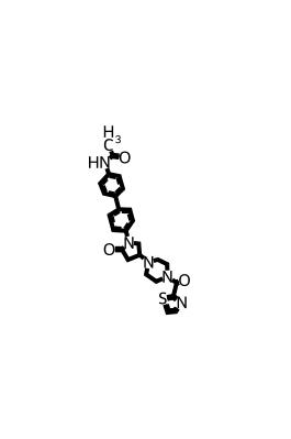 CC(=O)Nc1ccc(-c2ccc(N3CC(N4CCN(C(=O)c5nccs5)CC4)CC3=O)cc2)cc1